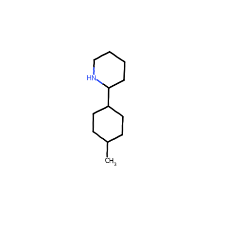 CC1CCC(C2CCCCN2)CC1